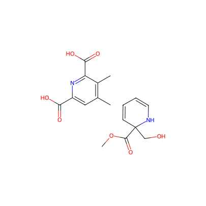 COC(=O)C1(CO)C=CC=CN1.Cc1cc(C(=O)O)nc(C(=O)O)c1C